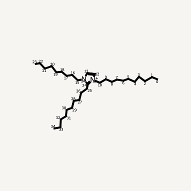 CCCCCCCCCCC[n+]1ccn(CCCCCCCCC)c1CCCCCCCCCC